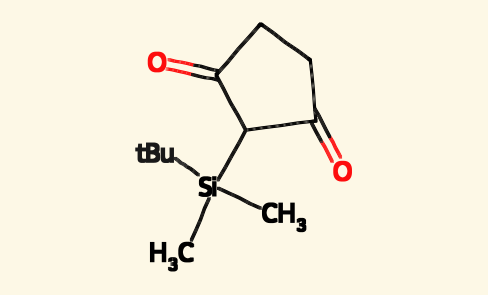 CC(C)(C)[Si](C)(C)C1C(=O)CCC1=O